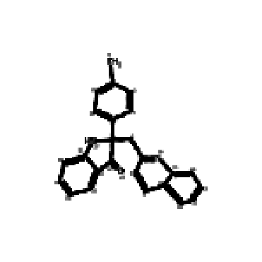 Cc1ccc(C2(Cc3ccc4ccccc4n3)Nc3ccccc3C2=O)cc1